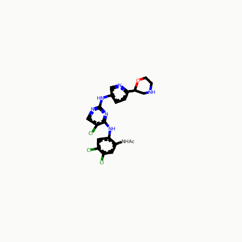 CC(=O)Nc1cc(Cl)c(Cl)cc1Nc1nc(Nc2ccc(C3CNCCO3)nc2)ncc1Cl